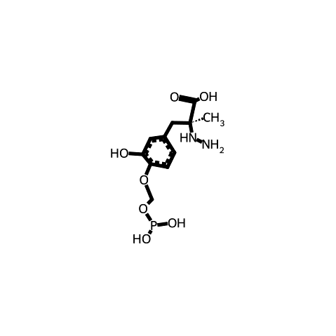 C[C@@](Cc1ccc(OCOP(O)O)c(O)c1)(NN)C(=O)O